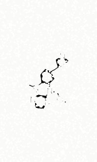 COCN1c2cc(-c3cnco3)ccc2N(C)c2nccnc21